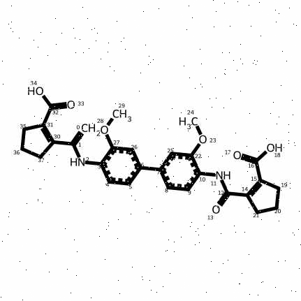 C=C(Nc1ccc(-c2ccc(NC(=O)C3=C(C(=O)O)CCC3)c(OC)c2)cc1OC)C1=C(C(=O)O)CCC1